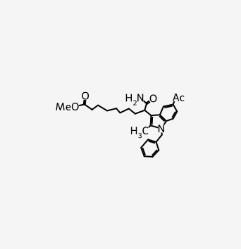 COC(=O)CCCCCCCC(C(N)=O)c1c(C)n(Cc2ccccc2)c2ccc(C(C)=O)cc12